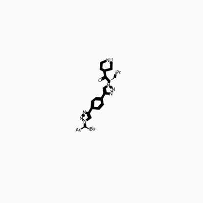 CC[C@H](C)[C@@H](C(C)=O)n1cc(-c2ccc(-c3cn([C@@H](CC(C)C)C(=O)C4CCNCC4)nn3)cc2)nn1